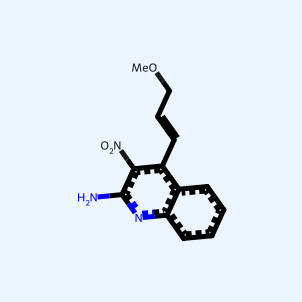 COCC=Cc1c([N+](=O)[O-])c(N)nc2ccccc12